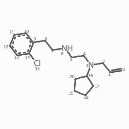 C=CCN(CCNCCc1ccccc1Cl)C1CCCC1